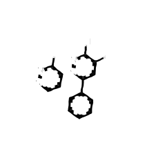 Cc1cc(-c2ccccc2)nnc1Cl.Clc1cccnn1